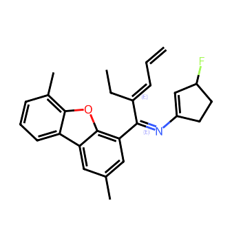 C=C/C=C(CC)/C(=N\C1=CC(F)CC1)c1cc(C)cc2c1oc1c(C)cccc12